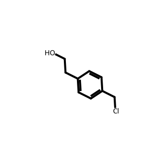 OCCc1ccc(CCl)cc1